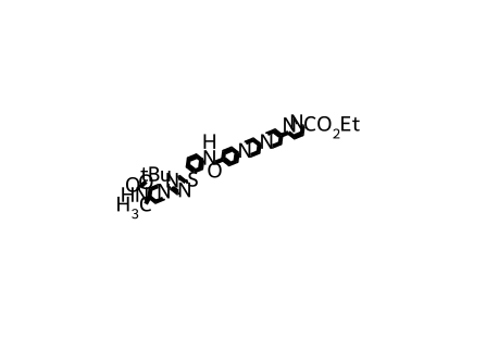 CCOC(=O)c1ccc(C2=CCN(C3CCN(c4ccc(C(=O)Nc5cccc(Sc6cnc(N7CCC(C)(NC(=O)OC(C)(C)C)CC7)cn6)c5)cc4)CC3)CC2)nn1